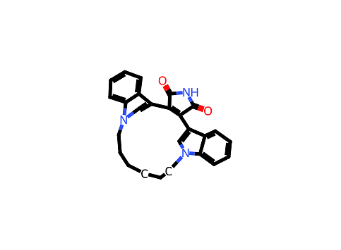 O=C1NC(=O)C2=C1c1cn(c3ccccc13)CCCCCCn1cc2c2ccccc21